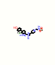 CCc1cc(O)ccc1-c1ccc2c(-c3nc(C4=CCN(CCNS(C)(=O)=O)CC4)c[nH]3)n[nH]c2c1F